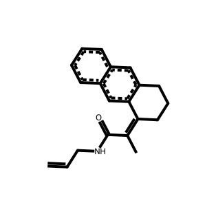 C=CCNC(=O)/C(C)=C1/CCCc2cc3ccccc3cc21